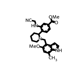 COC(=O)c1ccc(C2CCCCN2Cc2c(OC)cc(C)c3[nH]ccc23)c(NCC#N)c1